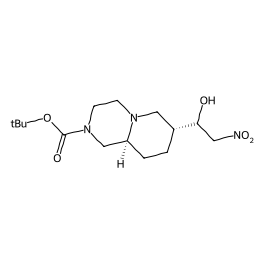 CC(C)(C)OC(=O)N1CCN2C[C@H](C(O)C[N+](=O)[O-])CC[C@H]2C1